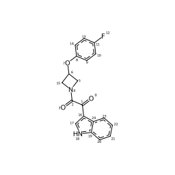 O=C(C(=O)N1CC(Oc2ccc(F)cc2)C1)c1c[nH]c2ccccc12